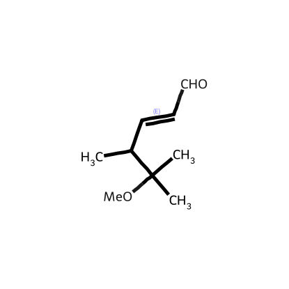 COC(C)(C)C(C)/C=C/C=O